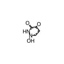 O=c1ccn(O)[nH]c1=O